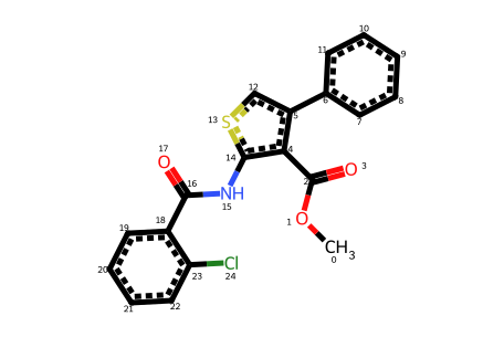 COC(=O)c1c(-c2ccccc2)csc1NC(=O)c1ccccc1Cl